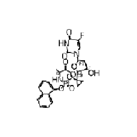 C[C@H](N[P@](=O)(Oc1cccc2ccccc12)OC1([C@H]2O[C@@H](n3cc(F)c(=O)[nH]c3=O)C[C@@H]2O)CC1)C(=O)O